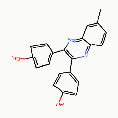 Cc1ccc2nc(-c3ccc(O)cc3)c(-c3ccc(O)cc3)nc2c1